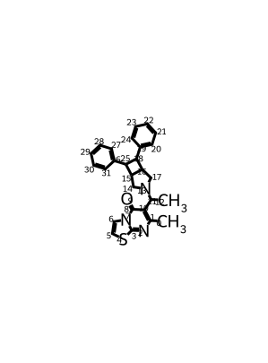 Cc1nc2sccn2c(=O)c1C(C)N1CC2C(C1)C(c1ccccc1)C2c1ccccc1